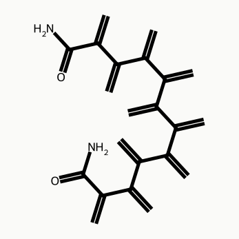 C=C(C(=C)C(=C)C(=C)C(=C)C(=C)C(N)=O)C(=C)C(=C)C(=C)C(=C)C(N)=O